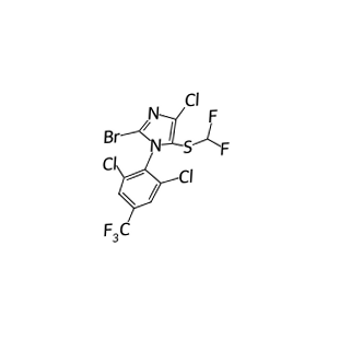 FC(F)Sc1c(Cl)nc(Br)n1-c1c(Cl)cc(C(F)(F)F)cc1Cl